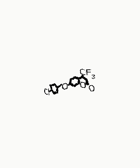 O=c1cc(C(F)(F)F)c2ccc(OCc3ccc(Cl)cc3)cc2o1